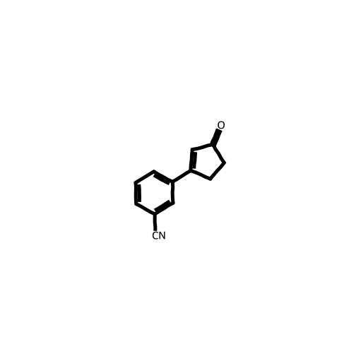 N#Cc1cccc(C2=CC(=O)CC2)c1